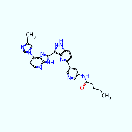 CCCCC(=O)Nc1cncc(-c2ccc3[nH]nc(-c4nc5c(-n6cnc(C)c6)ccnc5[nH]4)c3n2)c1